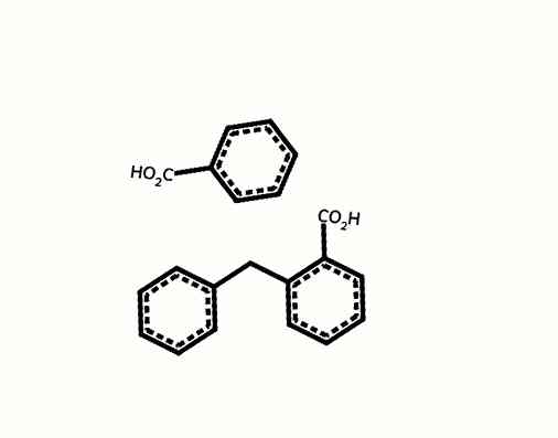 O=C(O)c1ccccc1.O=C(O)c1ccccc1Cc1ccccc1